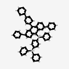 c1ccc(-c2ccc(-c3c4cc(-c5ccccc5)ccc4c(N(c4ccccc4)c4ccc(N(c5ccccc5)c5ccccc5)cc4)c4cc(-c5ccccc5)ccc34)cc2)cc1